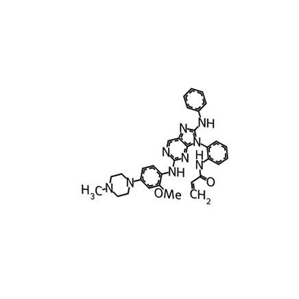 C=CC(=O)Nc1ccccc1-n1c(Nc2ccccc2)nc2cnc(Nc3ccc(N4CCN(C)CC4)cc3OC)nc21